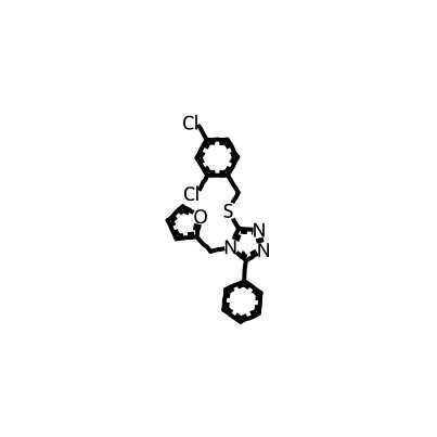 Clc1ccc(CSc2nnc(-c3ccccc3)n2Cc2ccco2)c(Cl)c1